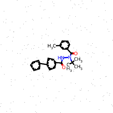 Cc1cccc(C(=O)N(NC(=O)c2ccc(-c3ccccc3)cc2)C(C)(C)C)c1